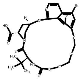 CC(C)(C)[C@@H]1NC(=O)OCCCCCc2cc(Br)c3ccnc(c3c2Br)O[C@@H]2C[C@@H](C(=O)O)N(C2)C1=O